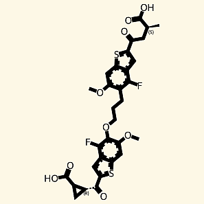 COc1cc2sc(C(=O)C[C@H](C)C(=O)O)cc2c(F)c1CCCOc1c(OC)cc2sc(C(=O)[C@@H]3CC3C(=O)O)cc2c1F